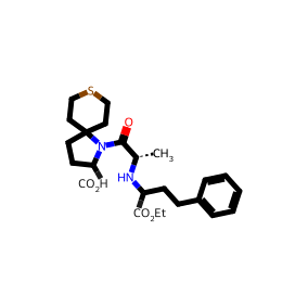 CCOC(=O)C(CCc1ccccc1)N[C@@H](C)C(=O)N1C(C(=O)O)CCC12CCSCC2